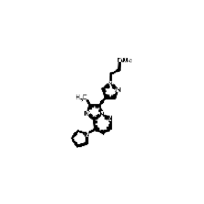 COCCn1cc(-c2c(C)nc3c(N4CCCC4)ccnn23)cn1